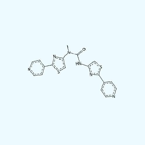 CN(C(=O)Nc1csc(-c2ccncc2)n1)c1csc(-c2ccncc2)n1